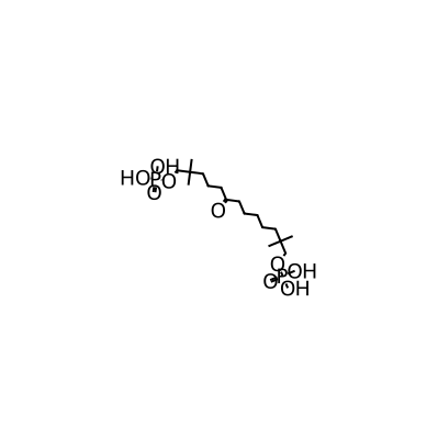 CC(C)(CCCCCC(=O)CCCC(C)(C)COP(=O)(O)O)COP(=O)(O)O